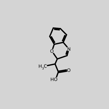 CC(C(=O)O)C1C=Nc2ccccc2O1